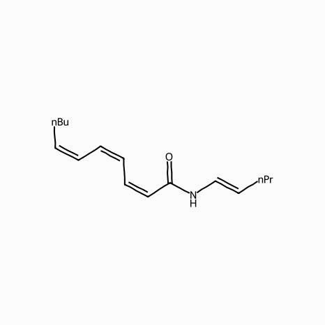 CCC/C=C/NC(=O)\C=C/C=C\C=C/CCCC